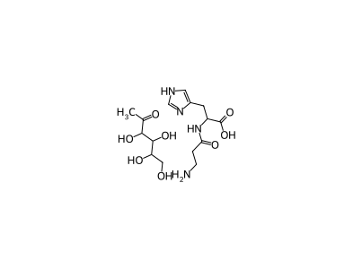 CC(=O)C(O)C(O)C(O)CO.NCCC(=O)NC(Cc1c[nH]cn1)C(=O)O